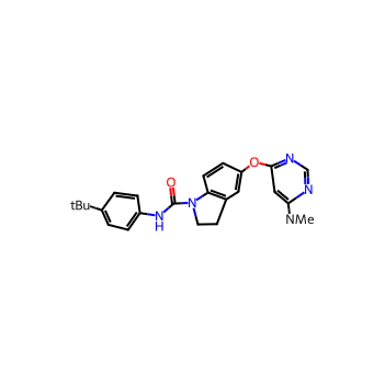 CNc1cc(Oc2ccc3c(c2)CCN3C(=O)Nc2ccc(C(C)(C)C)cc2)ncn1